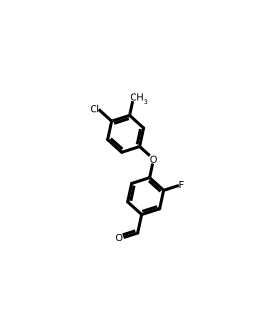 Cc1cc(Oc2ccc(C=O)cc2F)ccc1Cl